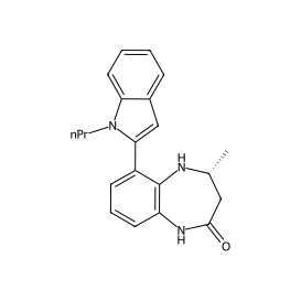 CCCn1c(-c2cccc3c2N[C@H](C)CC(=O)N3)cc2ccccc21